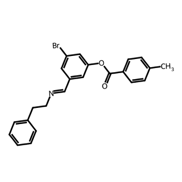 Cc1ccc(C(=O)Oc2cc(Br)cc(C=NCCc3ccccc3)c2)cc1